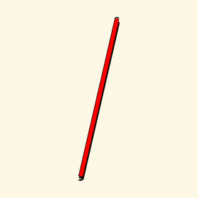 S=S=S=S=S=S=S=S=S=S=S=S=S=S=S=S=S=S=S=S=S=S=S=S=S=S=S=S=S=S=S=S=S=S=S=S=S=S=S=S=S=S=S=S=S=S=S=S=S=S=S=S=S=S=S=S=S=S=S=S=S=S=S=S=S=S=S=S=S=S=S=S=S=S=S=S=S=S=S=S=S=S=S=S=S=S=S=S=S=S=S=S=S=S=S=S=S=S=S=S=S=S=S=S=S=S=S=S=S=S=S=S=S=S=S=S=S=S=S=S=S=S=S=S=S=S=S=S=S